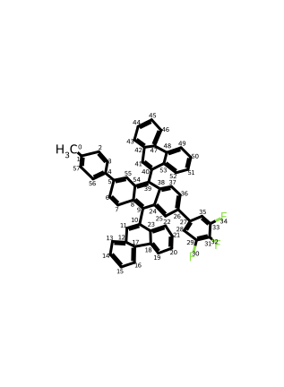 Cc1ccc(-c2ccc3c(-c4cc5ccccc5c5ccccc45)c4cc(-c5cc(F)c(F)c(F)c5)ccc4c(-c4cc5ccccc5c5ccccc45)c3c2)cc1